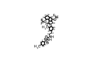 Cc1ccc(S(=O)(=O)NC(=O)NCCc2ccc(N3Cc4c(OC(F)F)cc5cccc(OC(F)F)c5c4C3=O)c(C)c2)cc1